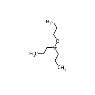 CCCO[Si](CCC)CCC